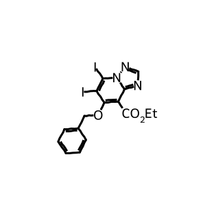 CCOC(=O)c1c(OCc2ccccc2)c(I)c(I)n2ncnc12